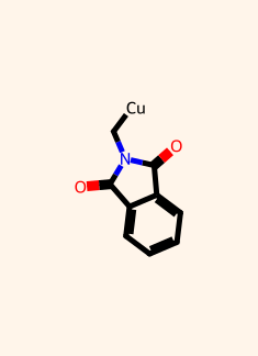 O=C1c2ccccc2C(=O)N1[CH2][Cu]